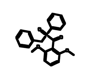 COc1cccc(OC)c1C(=O)P(=O)(Cc1ccccc1)c1ccccc1